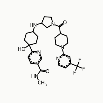 CNC(=O)c1ccc(C2(O)CCC(NC3CCN(C(=O)C4CCN(c5cc(C(F)(F)F)ccn5)CC4)C3)CC2)nc1